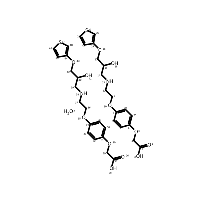 O.O=C(O)COc1ccc(OCCNCC(O)COc2ccsc2)cc1.O=C(O)COc1ccc(OCCNCC(O)COc2ccsc2)cc1